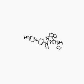 c1cc2nc(Nc3ccc(N4CCNCC4)cc3)nc(NC3CCC3)c2o1